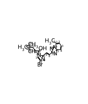 Cc1cccc2nc(C=Cc3nc(Br)cn3C(O)CC[Si](C)(C)C)nn12